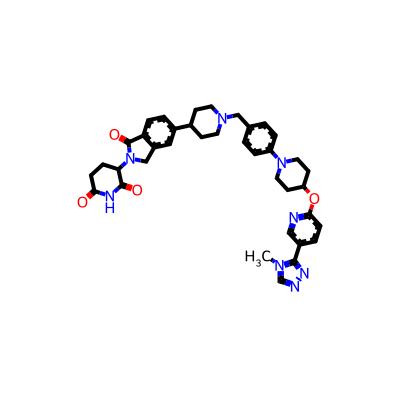 Cn1cnnc1-c1ccc(OC2CCN(c3ccc(CN4CCC(c5ccc6c(c5)CN(C5CCC(=O)NC5=O)C6=O)CC4)cc3)CC2)nc1